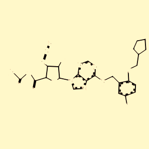 [N-]=[N+]=NC1C(C(=O)OC(N)=O)OC(n2cnc3c(NCc4cc(Cl)ccc4OCC4CCCC4)ncnc32)C1O